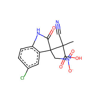 CC(C#N)(C(=O)O)C1(C[N+](=O)[O-])C(=O)Nc2ccc(Cl)cc21